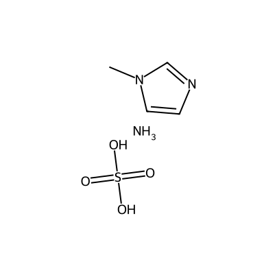 Cn1ccnc1.N.O=S(=O)(O)O